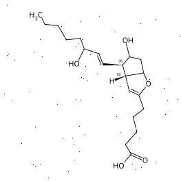 CCCCCC(O)C=C[C@H]1C(O)CC2OC(CCCCC(=O)O)=C[C@@H]21